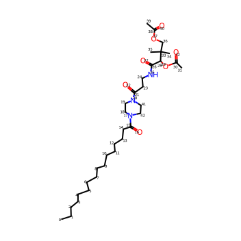 CCCCCCCCCCCCCCCC(=O)N1CCN(C(=O)CCNC(=O)C(OC(C)=O)C(C)(C)COC(C)=O)CC1